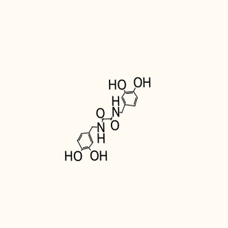 O=C(NCc1ccc(O)c(O)c1)C(=O)NCc1ccc(O)c(O)c1